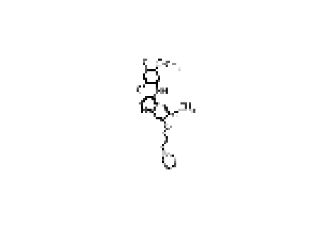 COc1cc(Nc2ccnc3cc(OCCCN4CCCC4)c(OC)cc23)c(Cl)cc1Cl